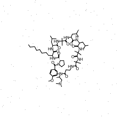 CCCCCCCCC(NC(=O)[C@@H]1CCCN1C(=O)c1ccc(OC)cc1)C(=O)NC(CC(C)C)C(=O)NC(C)(C)C(=O)NC(CC(C)C)C(=O)NC(CC(C)C)C(=O)NC(C)(C)C(=O)NC(C)(C)C(=O)NCCC(=O)NC(C)CN(C)C